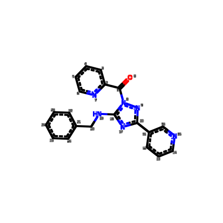 O=C(c1ccccn1)n1nc(-c2cccnc2)nc1NCc1ccccc1